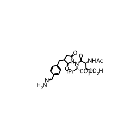 CC(=O)N[C@@H](CC(=O)O)C(=O)N([C@H](C(=O)O)C(C)C)N1C(=O)CC(Cc2ccc(C=NN)cc2)C1=O